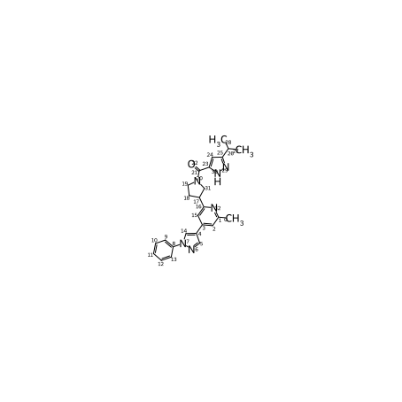 Cc1cc(-c2cnn(-c3ccccc3)c2)cc(C2CCN(C(=O)c3cc(C(C)C)n[nH]3)C2)n1